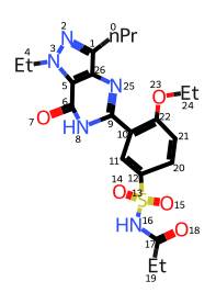 CCCc1nn(CC)c2c(=O)[nH]c(-c3cc(S(=O)(=O)NC(=O)CC)ccc3OCC)nc12